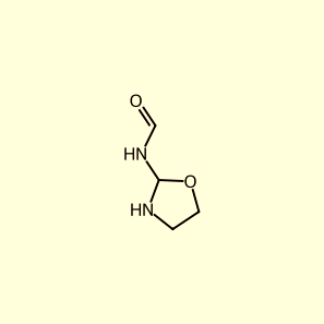 O=CNC1NCCO1